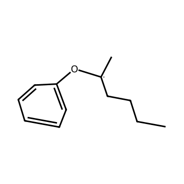 CCCC[C](C)Oc1ccccc1